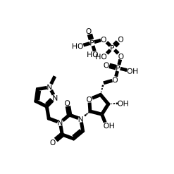 Cn1ccc(Cn2c(=O)ccn([C@@H]3O[C@H](COP(=O)(O)OP(=O)(O)OP(=O)(O)O)[C@H](O)C3O)c2=O)n1